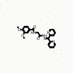 COc1ccc(C(=O)NCC(=O)NN=C(c2ccccn2)c2ccccn2)cc1OC